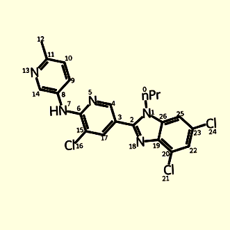 CCCn1c(-c2cnc(Nc3ccc(C)nc3)c(Cl)c2)nc2c(Cl)cc(Cl)cc21